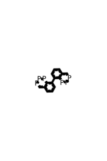 c1cc(-c2cccc3cpppc23)c2pppcc2c1